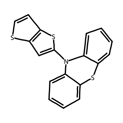 c1ccc2c(c1)Sc1ccccc1N2c1cc2sccc2s1